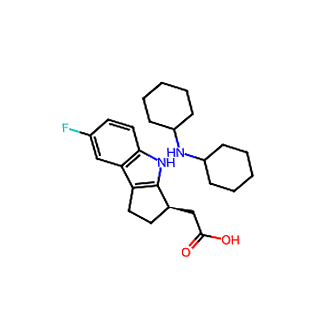 C1CCC(NC2CCCCC2)CC1.O=C(O)C[C@H]1CCc2c1[nH]c1ccc(F)cc21